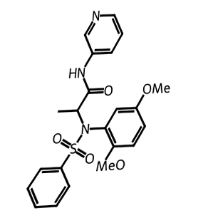 COc1ccc(OC)c(N(C(C)C(=O)Nc2cccnc2)S(=O)(=O)c2ccccc2)c1